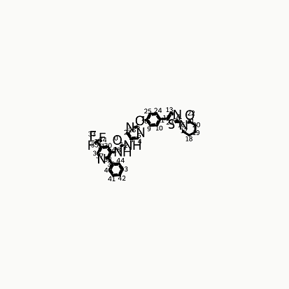 O=C(Nc1cnc(Oc2ccc(-c3cnc(N4CCCCC4=O)s3)cc2)nc1)Nc1cc(C(F)(F)F)cnc1-c1ccccc1